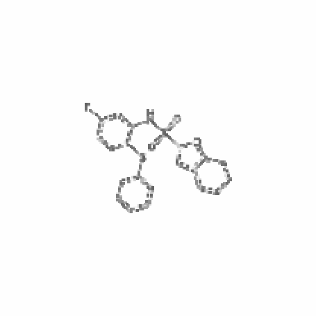 O=S(=O)(Nc1cc(F)ccc1Sc1ccccc1)c1cc2ccccc2o1